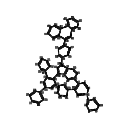 c1ccc(-c2ccc(-c3ccc4c(c3)c(-c3ccc(-c5ccccc5)cc3-c3ccccc3)cn4-c3ccc(-c4cc5ccccc5c5ccccc45)cc3)c(-c3ccccc3)c2)cc1